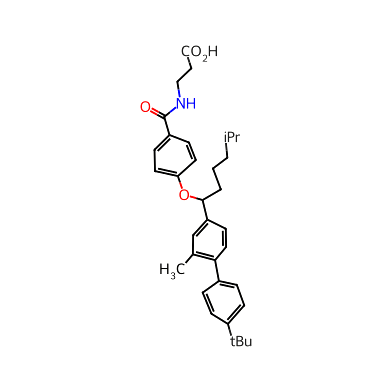 Cc1cc(C(CCCC(C)C)Oc2ccc(C(=O)NCCC(=O)O)cc2)ccc1-c1ccc(C(C)(C)C)cc1